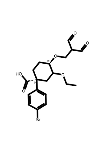 CCOC1C[C@@](C(=O)O)(c2ccc(Br)cc2)CC[C@H]1OCC(C=O)C=O